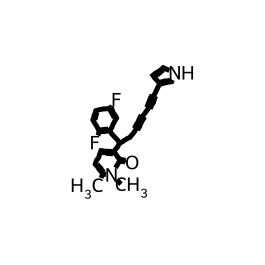 Cc1ccc(C(CC#CC#Cc2cc[nH]c2)c2cc(F)ccc2F)c(=O)n1C